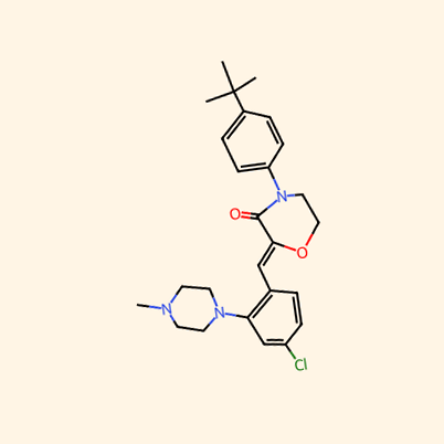 CN1CCN(c2cc(Cl)ccc2C=C2OCCN(c3ccc(C(C)(C)C)cc3)C2=O)CC1